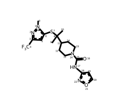 Cn1nc(C(F)(F)F)cc1SC(C)(C)C1CCN(C(=O)Nc2ccon2)CC1